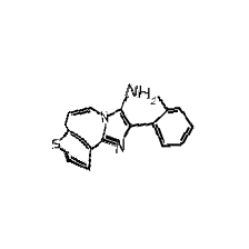 Cc1ccccc1-c1nc2c3ccsc3ccn2c1N